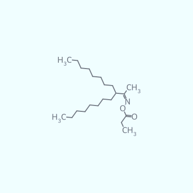 CCCCCCCCC(CCCCCCCC)/C(C)=N\OC(=O)CC